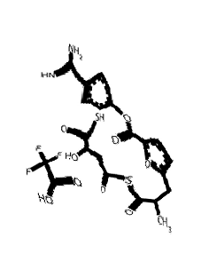 CC(Cc1ccc(C(=O)Oc2ccc(C(=N)N)cc2)o1)C(=O)SC(=O)CC(O)C(=O)S.O=C(O)C(F)(F)F